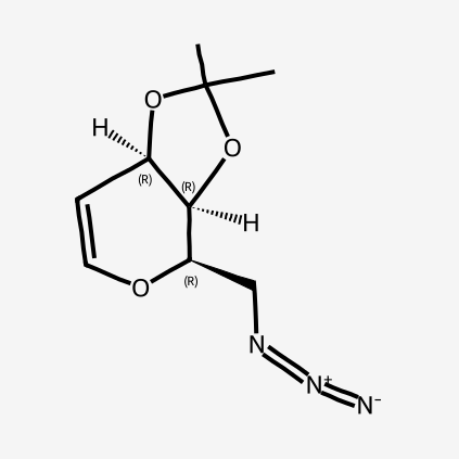 CC1(C)O[C@@H]2[C@@H](C=CO[C@@H]2CN=[N+]=[N-])O1